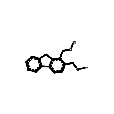 CCOCc1ccc2c(c1COCC)Cc1ccccc1-2